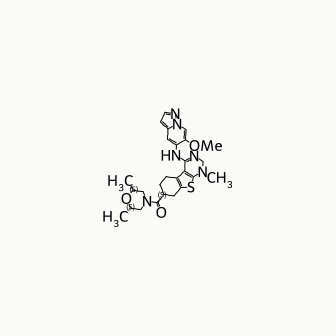 COc1cn2nccc2cc1NC1=NCN(C)c2sc3c(c21)CC[C@H](C(=O)N1C[C@H](C)O[C@@H](C)C1)C3